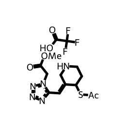 COC(=O)Cn1nnnc1C=C1CNCCC1SC(C)=O.O=C(O)C(F)(F)F